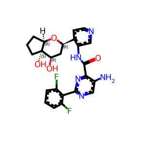 Nc1cnc(-c2c(F)cccc2F)nc1C(=O)Nc1cnccc1[C@H]1C[C@@H](O)[C@@]2(O)CCC[C@H]2O1